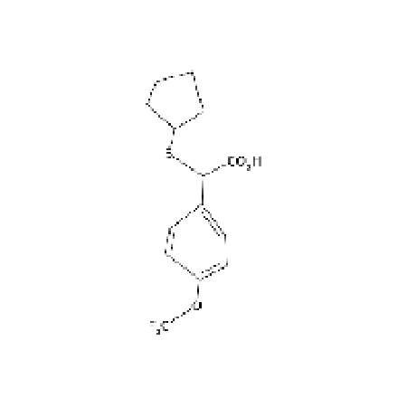 O=C(O)C(SC1CCCC1)c1ccc(OC(F)(F)F)cc1